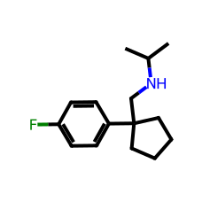 CC(C)NCC1(c2ccc(F)cc2)CCCC1